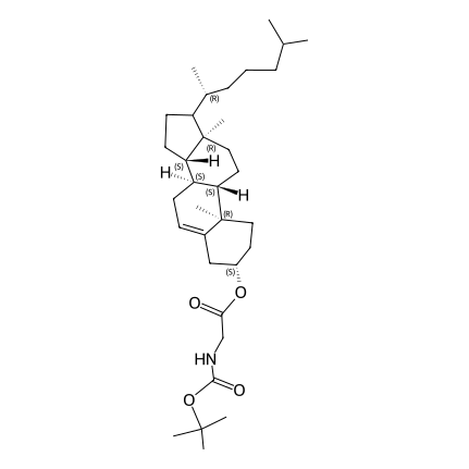 CC(C)CCC[C@@H](C)C1CC[C@H]2[C@@H]3CC=C4C[C@@H](OC(=O)CNC(=O)OC(C)(C)C)CC[C@]4(C)[C@H]3CC[C@]12C